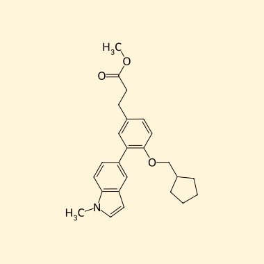 COC(=O)CCc1ccc(OCC2CCCC2)c(-c2ccc3c(ccn3C)c2)c1